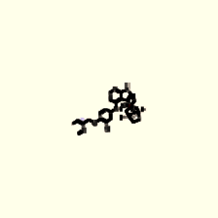 C=CC(=O)N1[C@@H]2CC[C@H]1C[C@@H](c1c[nH]c3ncnc(Nc4ccc(OC/C(=C/C)N=C)c(Cl)c4)c13)C2